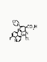 CCc1nc2c(C(=O)O)cc(N3CCOCC3)cc2n1-c1ccnc2c(F)ccc(F)c12